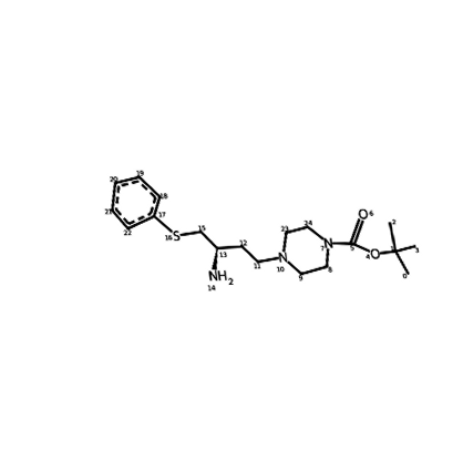 CC(C)(C)OC(=O)N1CCN(CC[C@@H](N)CSc2ccccc2)CC1